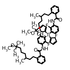 COC(C)(C)CCCC(C)CCc1ccccc1C(=O)Nc1ccc(F)[c]([Ti]([C]2=CC=CC2)([C]2=CC=CC2)[c]2c(F)ccc(NC(=O)c3ccccc3CCC(C)CCCC(C)(C)OC)c2F)c1F